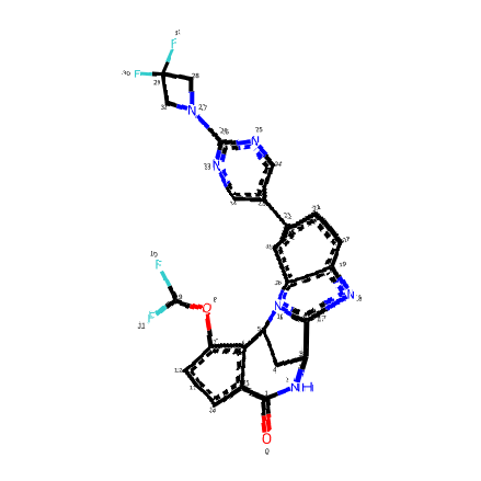 O=C1NC2CC(c3c(OC(F)F)cccc31)n1c2nc2ccc(-c3cnc(N4CC(F)(F)C4)nc3)cc21